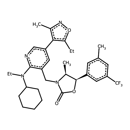 CCc1onc(C)c1-c1cnc(N(CC)C2CCCCC2)c(CN2C(=O)O[C@H](c3cc(C)cc(C(F)(F)F)c3)[C@@H]2C)c1